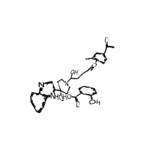 CC(=O)c1ccc(OCCC(O)N2CCC(O)(c3cnc4ccccc4n3)CC2)c(C)c1.O=C(O)c1ccccc1O